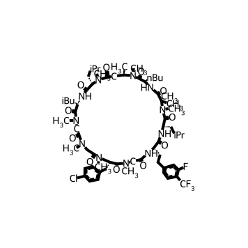 CCCC[C@@H]1NC(=O)C(C)(C)N(C)C(=O)[C@H](CC(C)C)NC(=O)[C@H](CCc2ccc(C(F)(F)F)c(F)c2)NC(=O)CN(C)C(=O)[C@H](Cc2ccc(Cl)cc2)N(C)C(=O)CN(C)C(=O)CN(C)C(=O)[C@H]([C@@H](C)CC)NC(=O)[C@H](CC(C)C)N(C)C(=O)C[C@@H](C)N(C)C1=O